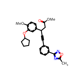 COC(=O)CC(C#Cc1cccc(-c2noc(C)n2)c1)c1ccc(OC)c(OC2CCCC2)c1